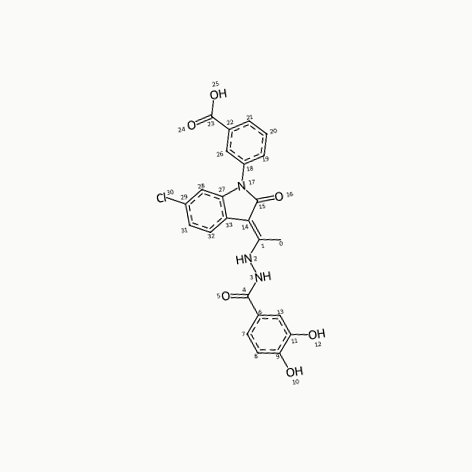 C/C(NNC(=O)c1ccc(O)c(O)c1)=C1\C(=O)N(c2cccc(C(=O)O)c2)c2cc(Cl)ccc21